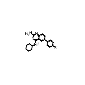 Nc1nc(NC2CCCCC2)c2cc(-c3ccc(Br)nc3)ccc2n1